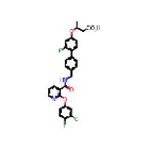 CC(CC(=O)O)Oc1ccc(-c2ccc(CNC(=O)c3cccnc3Oc3ccc(F)c(Cl)c3)cc2)c(F)c1